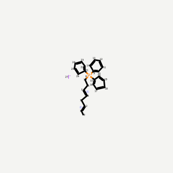 C/C=C/C/C=C/CC[P+](c1ccccc1)(c1ccccc1)c1ccccc1.[I-]